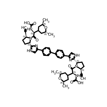 C#C[C@@H]1CC[C@@H](c2nc(-c3ccc(-c4ccc(-c5c[nH]c([C@@H]6CC[C@@H](C#C)N6C(=O)[C@@H](NC(=O)O)C6C[C@@H](C)O[C@H](C)C6)n5)cc4)cc3)c[nH]2)N1C(=O)[C@@H](NC(=O)O)C1C[C@@H](C)O[C@H](C)C1